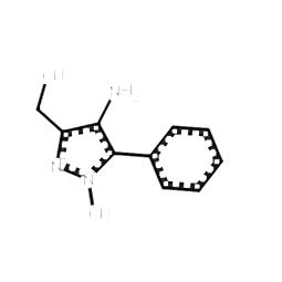 CCc1nn(C)c(-c2ccccc2)c1N